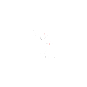 C/C(C=O)=C\CC(O)c1coc([Si](C)(C)C)c1